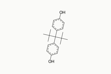 CC(C)(C)C(c1ccc(O)cc1)(c1ccc(O)cc1)C(C)(C)C